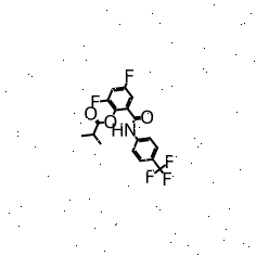 CC(C)C(=O)Oc1c(F)cc(F)cc1C(=O)Nc1ccc(C(F)(F)F)cc1